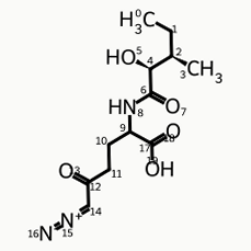 CC[C@@H](C)[C@H](O)C(=O)NC(CCC(=O)C=[N+]=[N-])C(=O)O